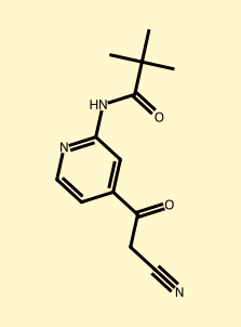 CC(C)(C)C(=O)Nc1cc(C(=O)CC#N)ccn1